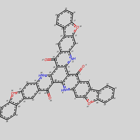 O=c1c2cc3c(cc2[nH]c2c1c1[nH]c4cc5oc6ccccc6c5cc4c(=O)c1c1[nH]c4cc5oc6ccccc6c5cc4c(=O)c21)oc1ccccc13